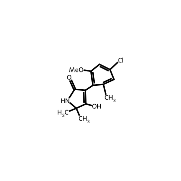 COc1cc(Cl)cc(C)c1C1=C(O)C(C)(C)NC1=O